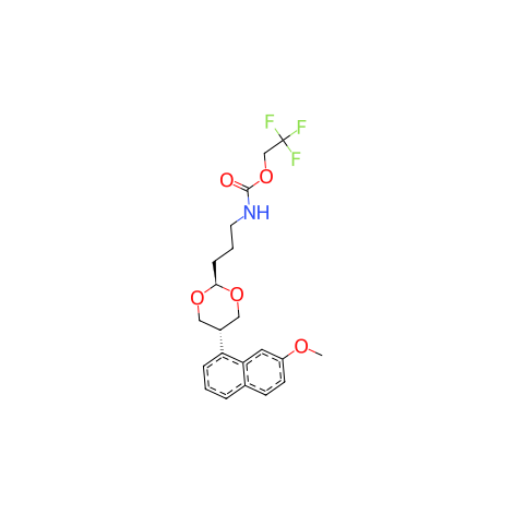 COc1ccc2cccc([C@H]3CO[C@H](CCCNC(=O)OCC(F)(F)F)OC3)c2c1